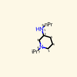 CCCNC1CCCN(C(C)C)C1